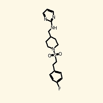 O=S(=O)(CCc1ccc(F)cc1)N1CCC(CNc2ncccn2)CC1